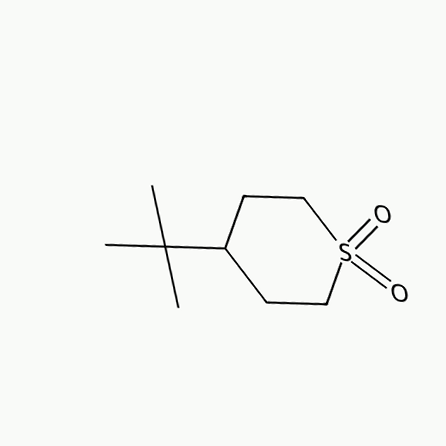 CC(C)(C)C1CCS(=O)(=O)CC1